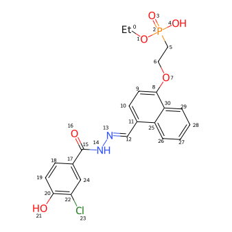 CCOP(=O)(O)CCOc1ccc(/C=N/NC(=O)c2ccc(O)c(Cl)c2)c2ccccc12